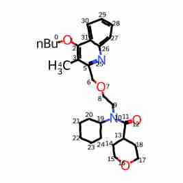 CCCCOc1c(C)c(COCCN(C(=O)C2CCOCC2)C2CCCCC2)nc2ccccc12